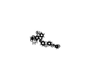 [C-]#[N+]c1cccc(CN(Cc2ccc(Oc3cccc(OCc4ccoc4)c3)cc2)c2cccc(NS(C)(=O)=O)c2C)c1